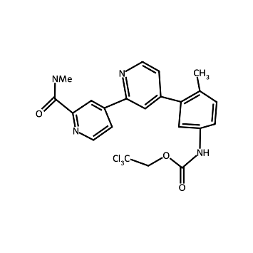 CNC(=O)c1cc(-c2cc(-c3cc(NC(=O)OCC(Cl)(Cl)Cl)ccc3C)ccn2)ccn1